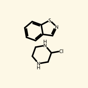 ClC1CNCCN1.c1ccc2sncc2c1